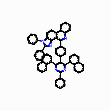 c1ccc(-c2nc(-c3cccc4ccccc34)c(-c3ccc(-c4nc5ccccc5c5ccc6c(nc(-c7ccccc7)n6-c6ccccc6)c45)cc3)c(-c3cccc4ccccc34)n2)cc1